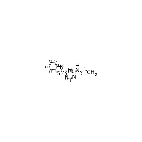 C=CCNc1ncnc(-c2nc3ccccc3s2)n1